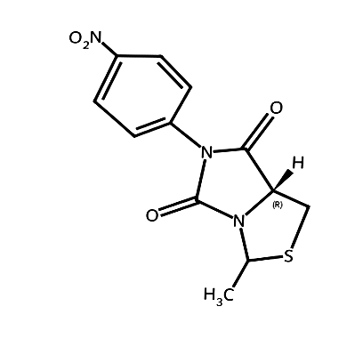 CC1SC[C@H]2C(=O)N(c3ccc([N+](=O)[O-])cc3)C(=O)N12